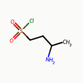 CC(N)CCS(=O)(=O)Cl